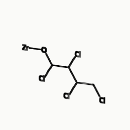 ClCC(Cl)C(Cl)C(Cl)[O][Zr]